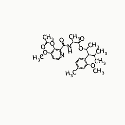 COc1cc(C)ccc1[C@H](C(C)C)[C@H](C)OC(=O)[C@H](C)NC(=O)c1nccc(OC)c1OC(C)=O